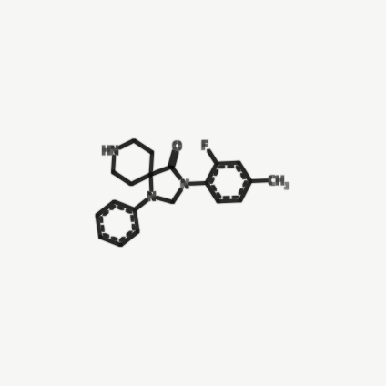 Cc1ccc(N2CN(c3ccccc3)C3(CCNCC3)C2=O)c(F)c1